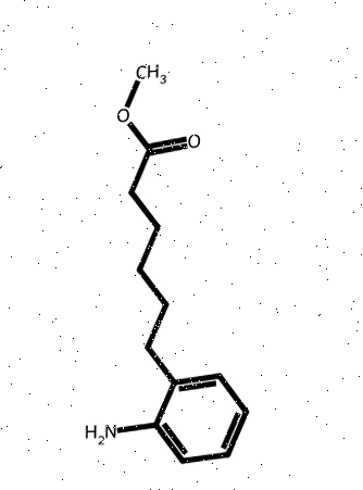 COC(=O)CCCCCc1ccccc1N